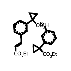 CCOC(=O)C1(c2cccc(Br)c2)CC1.CCOC(=O)C=Cc1cccc(C2(C(=O)O)CC2)c1